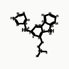 CN(C)CCc1cc(Nc2cccnc2)cc2c1[nH]c1ccccc12